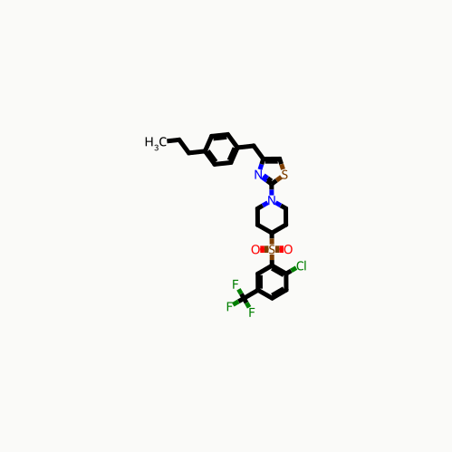 CCCc1ccc(Cc2csc(N3CCC(S(=O)(=O)c4cc(C(F)(F)F)ccc4Cl)CC3)n2)cc1